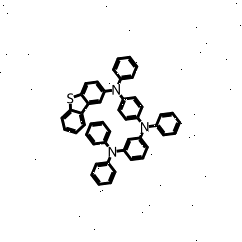 c1ccc(N(c2ccccc2)c2cccc(N(c3ccccc3)c3ccc(N(c4ccccc4)c4ccc5sc6ccccc6c5c4)cc3)c2)cc1